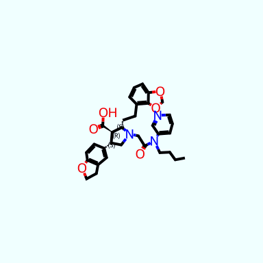 CCCCN(C(=O)CN1C[C@H](c2ccc3c(c2)CCO3)[C@@H](C(=O)O)[C@@H]1CCc1cccc2c1OCO2)c1cccnc1